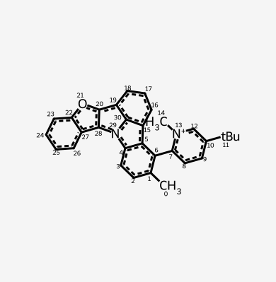 Cc1ccc2c(c1-c1ccc(C(C)(C)C)c[n+]1C)c1cccc3c4oc5ccccc5c4n2c31